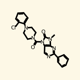 Cn1c(=O)n(C(=O)N2CCN(c3ccccc3Cl)CC2)c2cnc(-c3ccccc3)nc21